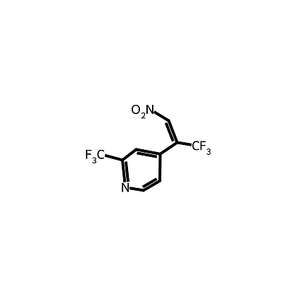 O=[N+]([O-])/C=C(\c1ccnc(C(F)(F)F)c1)C(F)(F)F